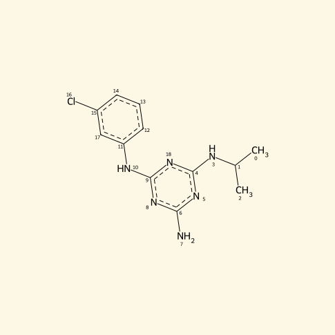 CC(C)Nc1nc(N)nc(Nc2cccc(Cl)c2)n1